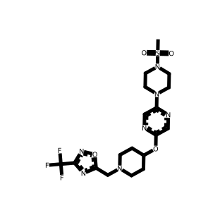 CS(=O)(=O)N1CCN(c2cnc(OC3CCN(Cc4nc(C(F)(F)F)no4)CC3)cn2)CC1